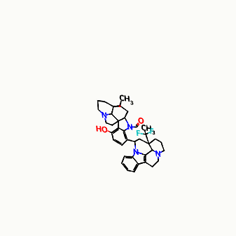 CCC12CCCN3CCC4(c5c(O)ccc(C6CC7(C(C)(F)F)CCCN8CCc9c(n6c6ccccc96)C87)c5N(C=O)C4CC1)C32